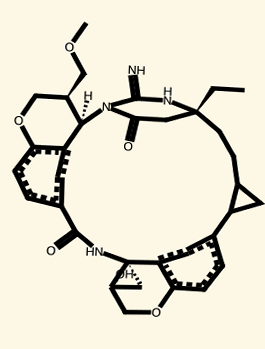 CC[C@]12CCC3CC3c3ccc4c(c3)[C@]3(C[C@@]3(O)CO4)NC(=O)c3ccc4c(c3)[C@@H]([C@H](COC)CO4)N(C(=N)N1)C(=O)C2